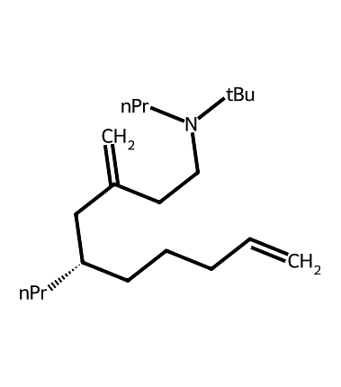 C=CCCC[C@H](CCC)CC(=C)CCN(CCC)C(C)(C)C